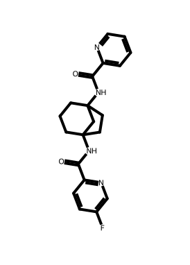 O=C(NC12CCCC(NC(=O)c3ccc(F)cn3)(CC1)C2)c1ccccn1